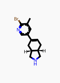 Cc1cc(C2=CC[C@@H]3CNC[C@@H]3C2)cnc1Br